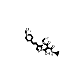 CC(C)Cn1c(=O)c(C(=O)NC2CC2)c(O)n2ncc(C=CC3CCN(CC(F)(F)F)CC3)c12